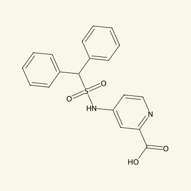 O=C(O)c1cc(NS(=O)(=O)C(c2ccccc2)c2ccccc2)ccn1